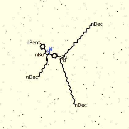 CCCCCCCCCCCCCCCCCC#CC1=C(c2ccc(CCCC)cc2)[N+](=[N-])C(c2ccc(CCCCC)cc2)=C1CCCC.CCCCCCCCCCCCCCCCCCCCCCCCCCCC[CH2][Pd][CH2]CCCCCCCCCCCCCCCCCCCCCCCCCCCC